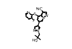 CC(C)(O)Cn1cc(-c2cc(Sc3ncccc3F)c3c(C#N)cnn3c2)cn1